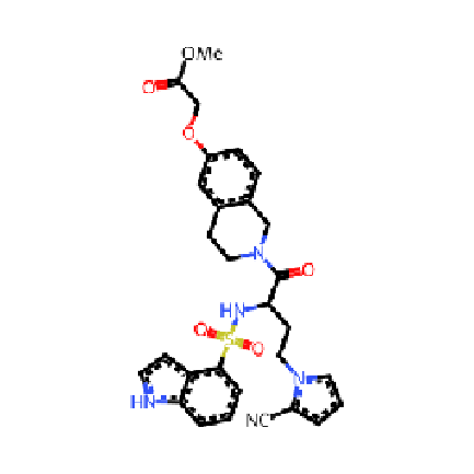 COC(=O)COc1ccc2c(c1)CCN(C(=O)C(CCn1cccc1C#N)NS(=O)(=O)c1cccc3[nH]ccc13)C2